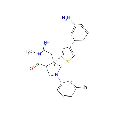 CC(C)c1cccc(N2CC3C(=O)N(C)C(=N)C[C@@]3(c3cc(-c4cccc(N)c4)cs3)C2)c1